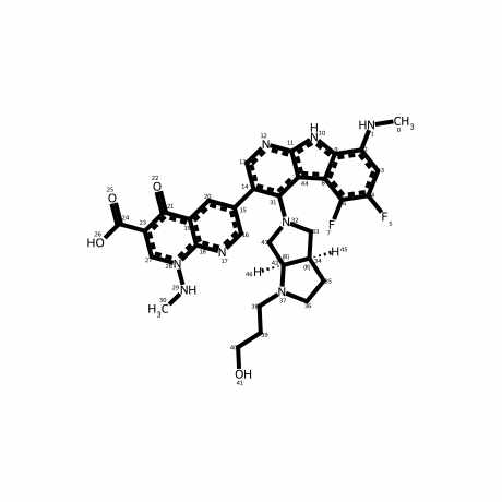 CNc1cc(F)c(F)c2c1[nH]c1ncc(-c3cnc4c(c3)c(=O)c(C(=O)O)cn4NC)c(N3C[C@H]4CCN(CCCO)[C@H]4C3)c12